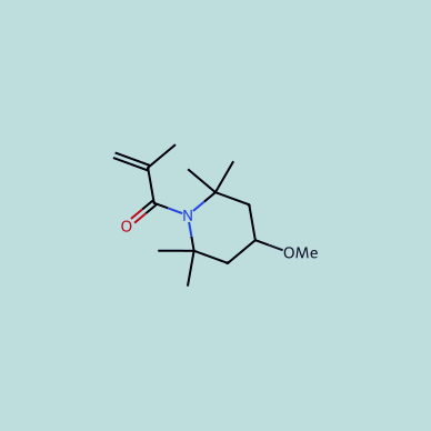 C=C(C)C(=O)N1C(C)(C)CC(OC)CC1(C)C